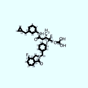 C[C@@H]([C@@H](C(=O)Nc1cccc(CC2CC2)c1)c1ccc(CN2Cc3c(F)cccc3C2=O)cc1)C(F)(F)F.O=C(O)O